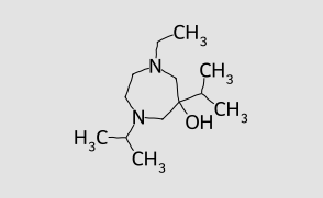 CCN1CCN(C(C)C)CC(O)(C(C)C)C1